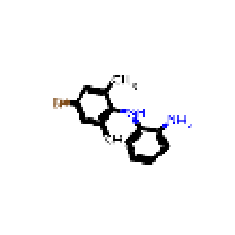 Cc1cc(Br)cc(C)c1Nc1ccccc1N